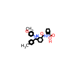 COc1ccc(-n2nc3c(c2-c2ccc(C)cc2)CCCC3C(=O)N[C@@H]2C3CCC(C3)[C@@H]2C(=O)O)cc1